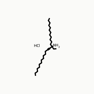 CCCCCCCCCCCCC#CC(N)(CC)CCCCCCCCCCCC.Cl